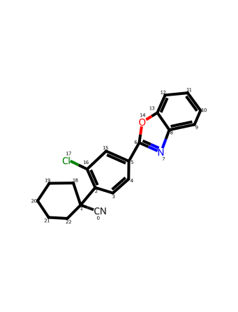 N#CC1(c2ccc(-c3nc4ccccc4o3)cc2Cl)CCCCC1